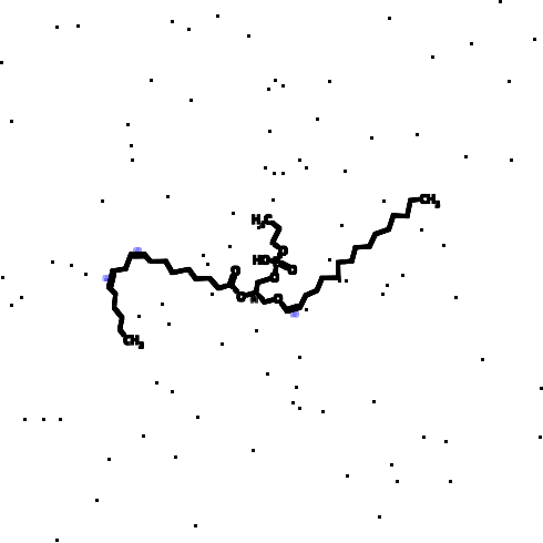 CCCCC/C=C\C/C=C\CCCCCCCC(=O)O[C@H](CO/C=C\CCCCCCCCCCCCCC)COP(=O)(O)OCCC